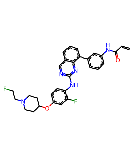 C=CC(=O)Nc1cccc(-c2cccc3cnc(Nc4ccc(OC5CCN(CCF)CC5)cc4F)nc23)c1